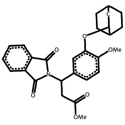 COC(=O)CC(c1ccc(OC)c(OC2CC3CCC2CC3)c1)N1C(=O)c2ccccc2C1=O